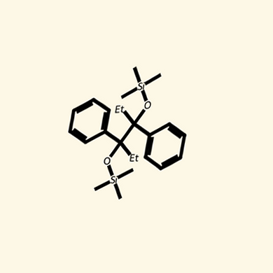 CCC(O[Si](C)(C)C)(c1ccccc1)C(CC)(O[Si](C)(C)C)c1ccccc1